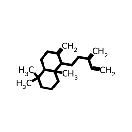 C=CC(=C)CCC1C(=C)CCC2C(C)(C)CCCC12C